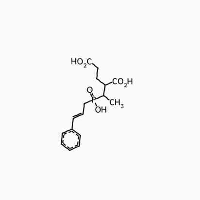 CC(C(CCC(=O)O)C(=O)O)P(=O)(O)CC=Cc1ccccc1